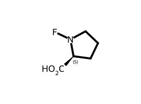 O=C(O)[C@@H]1CCCN1F